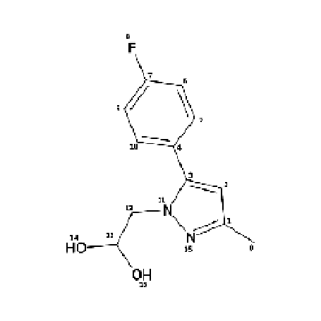 Cc1cc(-c2ccc(F)cc2)n(CC(O)O)n1